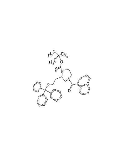 CC(C)(C)OC(=O)N1CCN(C(=O)c2cccc3ccccc23)CC1CCSC(c1ccccc1)(c1ccccc1)c1ccccc1